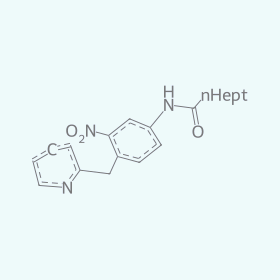 CCCCCCCC(=O)Nc1ccc(Cc2ccccn2)c([N+](=O)[O-])c1